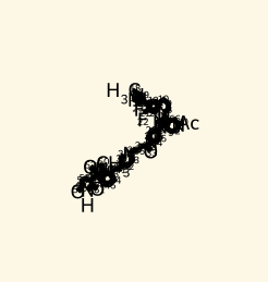 CC(=O)N1CCc2c(c(N3CCCc4cc(-c5cnn(C)c5)c(C(F)F)cc43)nn2C2CCN(C(=O)CCCN3CCC(CCc4cccc5c4n(C)c(=O)n5C4CCC(=O)NC4=O)CC3)CC2)C1